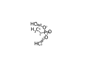 C#COP(=O)(CC)OC#C